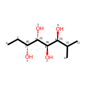 CC[C@@H](O)[C@H](O)[C@H](O)[C@@H](O)C(C)C